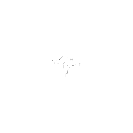 CC#N.CC(C)O.CCNCC